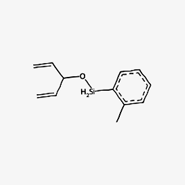 C=CC(C=C)O[SiH2]c1ccccc1C